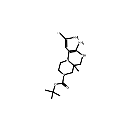 CC(C)(C)OC(=O)N1CCN2C(/C=C(\N)Cl)=C(N)NCC2(C)C1